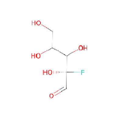 O=C[C@](O)(F)C(O)C(O)CO